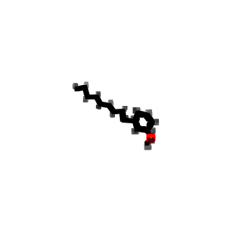 CCCCCCCC=Cc1cccc(OC)c1